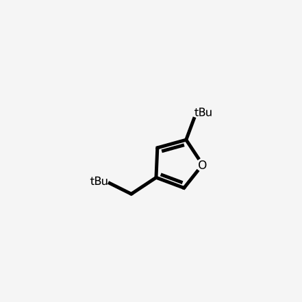 CC(C)(C)Cc1coc(C(C)(C)C)c1